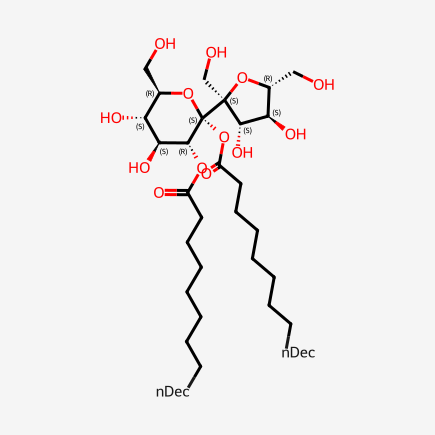 CCCCCCCCCCCCCCCCCC(=O)O[C@@H]1[C@@H](O)[C@H](O)[C@@H](CO)O[C@@]1(OC(=O)CCCCCCCCCCCCCCCCC)[C@@]1(CO)O[C@H](CO)[C@@H](O)[C@@H]1O